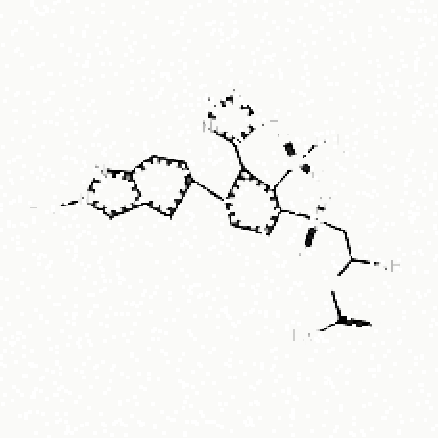 Cn1cc2cc(-c3ccc(S(=O)(=O)CC(N)OC(=O)C(F)(F)F)c(S(N)(=O)=O)c3-c3nnn[nH]3)ccc2n1